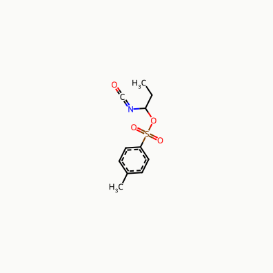 CCC(N=C=O)OS(=O)(=O)c1ccc(C)cc1